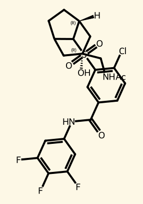 CC(=O)NC[C@@]1(O)CC2CC[C@H](C1)C2S(=O)(=O)c1cc(C(=O)Nc2cc(F)c(F)c(F)c2)ccc1Cl